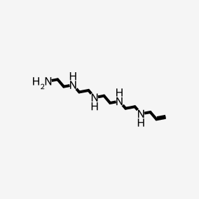 C=CCNCCNCCNCCNCCN